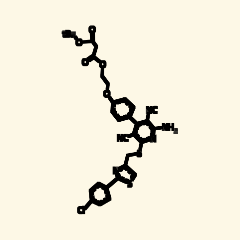 [C-]#[N+]c1c(N)nc(SCc2csc(-c3ccc(Cl)cc3)n2)c(C#N)c1-c1ccc(OCCOC(=O)CC(=O)OC(C)(C)C)cc1